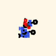 COCOCC(CS(=O)(=O)n1cnc(-c2ccccc2)n1)Nc1nc(NCc2ccccc2)c2ncn(C(C)C)c2n1